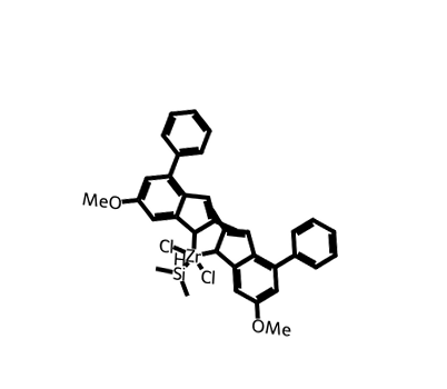 COc1cc(-c2ccccc2)c2c(c1)[CH]([Zr]([Cl])([Cl])([CH]1C(C)=Cc3c(-c4ccccc4)cc(OC)cc31)[SiH](C)C)C(C)=C2